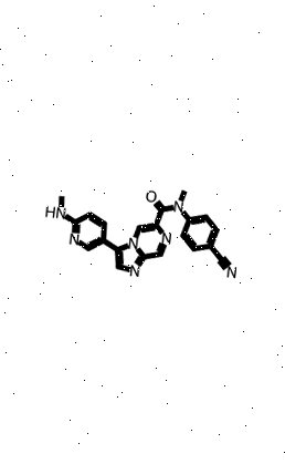 CNc1ccc(-c2cnc3cnc(C(=O)N(C)c4ccc(C#N)cc4)cn23)cn1